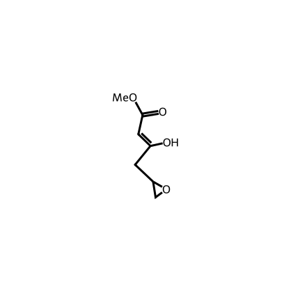 COC(=O)C=C(O)CC1CO1